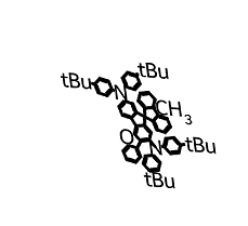 CC(C)(C)c1ccc(N(c2ccc(C(C)(C)C)cc2)c2ccc3c(c2)C2(C4=CC=CCC4(C)c4ccccc42)c2cc(N(c4ccc(C(C)(C)C)cc4)c4ccc(C(C)(C)C)cc4)c4c(oc5ccccc54)c2-3)cc1